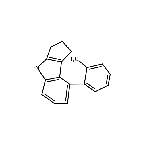 Cc1ccccc1-c1cccc2c1C1=C(CCC1)[N]2